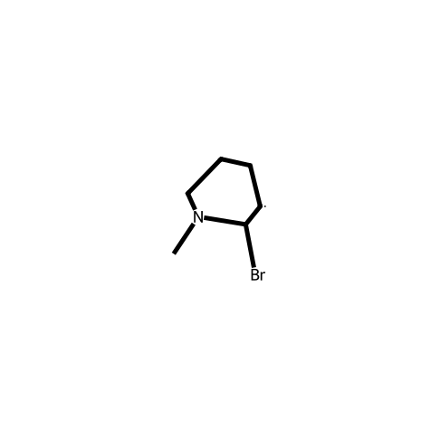 CN1CCC[CH]C1Br